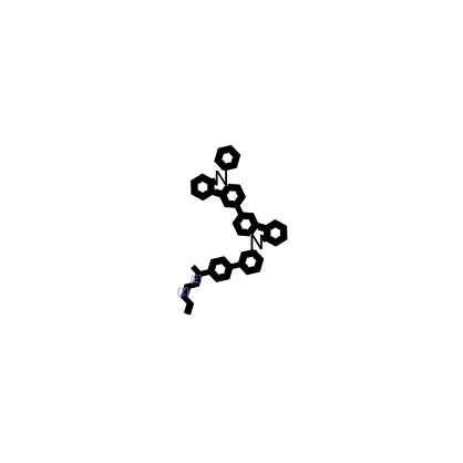 C=C/C=C\C=C(/C)c1ccc(-c2cccc(-n3c4ccccc4c4cc(-c5ccc6c(c5)c5ccccc5n6-c5ccccc5)ccc43)c2)cc1